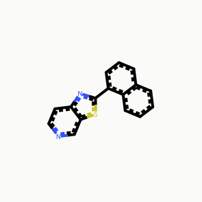 c1ccc2c(-c3nc4ccncc4s3)cccc2c1